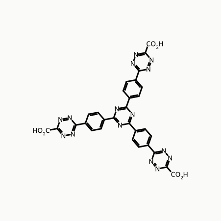 O=C(O)c1nnc(-c2ccc(-c3nc(-c4ccc(-c5nnc(C(=O)O)nn5)cc4)nc(-c4ccc(-c5nnc(C(=O)O)nn5)cc4)n3)cc2)nn1